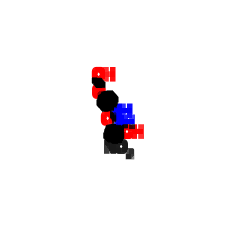 O=C(Nc1ccc(OCCO)cc1)Nc1ccc([N+](=O)[O-])cc1O